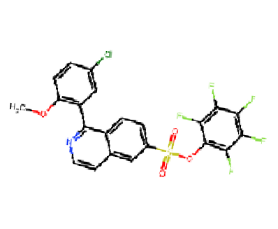 COc1ccc(Cl)cc1-c1nccc2cc(S(=O)(=O)Oc3c(F)c(F)c(F)c(F)c3F)ccc12